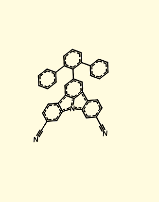 N#Cc1ccc2c3cc(-c4c(-c5ccccc5)cccc4-c4ccccc4)cc4c5ccc(C#N)cc5n(c2c1)c34